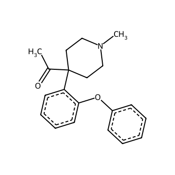 CC(=O)C1(c2ccccc2Oc2ccccc2)CCN(C)CC1